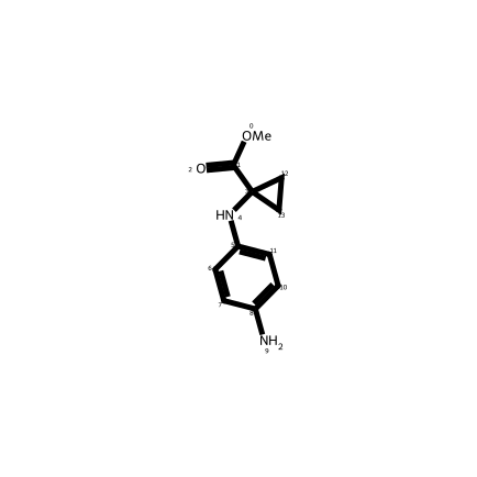 COC(=O)C1(Nc2ccc(N)cc2)CC1